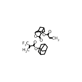 C=C(C(=O)OC12CC3CC(CC(C3)C1)C2)C(F)(F)F.C=CC(=O)OC1C2CC3C(=O)OC1C3C2